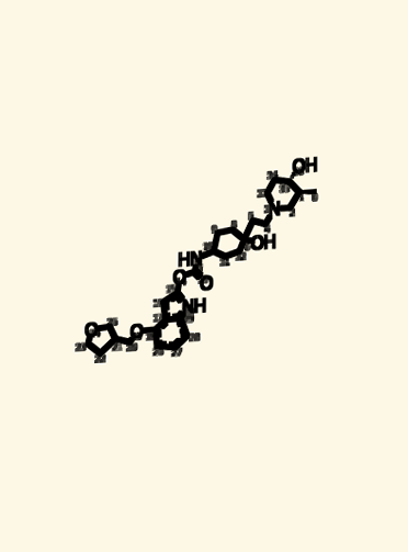 C[C@H]1CN(CCC2(O)CCC(NC(=O)Oc3cc4c(OCC5CCOC5)cccc4[nH]3)CC2)CC[C@@H]1O